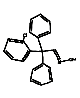 ON=CC(c1ccccc1)(c1ccccc1)c1ccccc1Cl